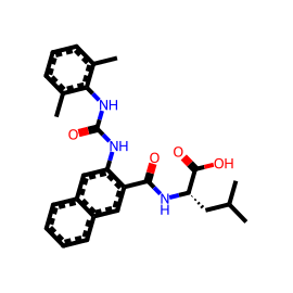 Cc1cccc(C)c1NC(=O)Nc1cc2ccccc2cc1C(=O)N[C@@H](CC(C)C)C(=O)O